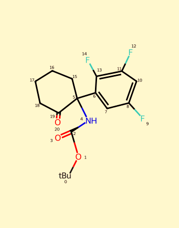 CC(C)(C)OC(=O)NC1(c2cc(F)cc(F)c2F)CCCCC1=O